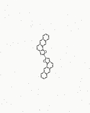 c1ccc2cc3c(ccc4cc(-c5cc6ccc7cc8ccccc8cc7c6o5)oc43)cc2c1